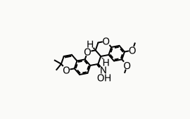 COc1cc2c(cc1OC)[C@H]1C(=NO)c3ccc4c(c3O[C@@H]1CO2)C=CC(C)(C)O4